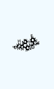 COc1c[nH]c2c(-c3ccccn3)c(-c3ccnc(NC(=O)[C@@H](CC(F)F)c4ccc(F)cc4)c3)nc-2n1